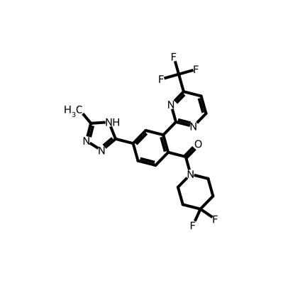 Cc1nnc(-c2ccc(C(=O)N3CCC(F)(F)CC3)c(-c3nccc(C(F)(F)F)n3)c2)[nH]1